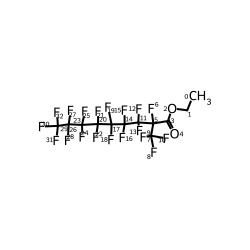 CCOC(=O)C(F)(C(F)(F)F)C(F)(F)C(F)(F)C(F)(F)C(F)(F)C(F)(F)C(F)(F)C(F)(F)F